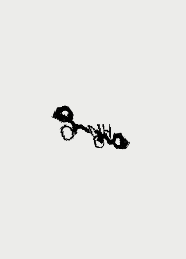 O=CC(CCNC(=O)CCC1CCCCC1)c1ccccc1